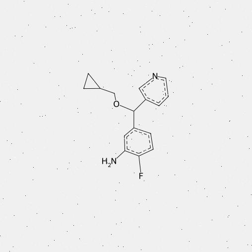 Nc1cc(C(OCC2CC2)c2cccnc2)ccc1F